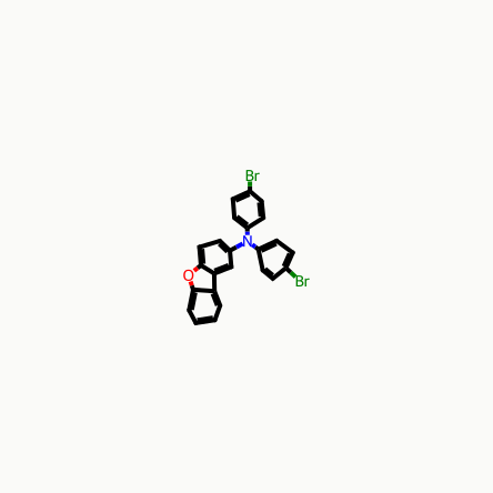 Brc1ccc(N(c2ccc(Br)cc2)c2ccc3oc4ccccc4c3c2)cc1